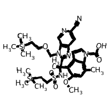 COc1cc(C)c2c(ccn2C(=O)O)c1C(C)(NS(=O)(=O)CC[Si](C)(C)C)c1nc2cc(C#N)ncc2n1COCC[Si](C)(C)C